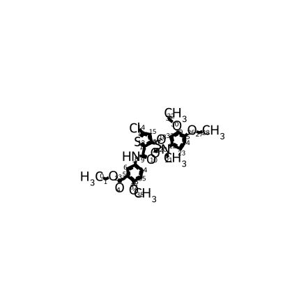 CCOC(=O)c1cc(NC(=O)c2sc(Cl)cc2S(=O)(=O)N(C)c2ccc(OCC)c(OCC)c2)ccc1OC